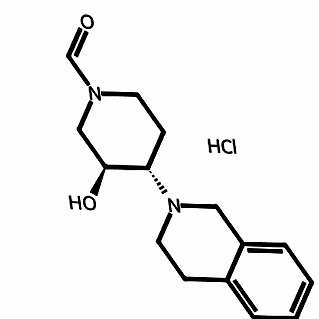 Cl.O=CN1CC[C@H](N2CCc3ccccc3C2)[C@@H](O)C1